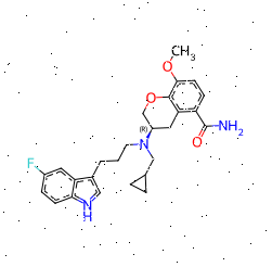 COc1ccc(C(N)=O)c2c1OC[C@H](N(CCCc1c[nH]c3ccc(F)cc13)CC1CC1)C2